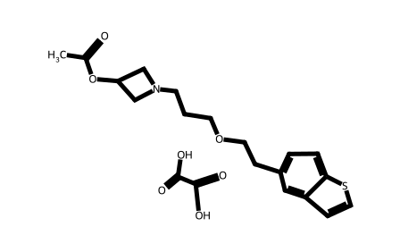 CC(=O)OC1CN(CCCOCCc2ccc3sccc3c2)C1.O=C(O)C(=O)O